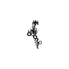 C=CCOC(=O)c1cc2cc([C@H](F)P(=O)(N[C@@H](C)C(=O)OCc3nnnn3C)Oc3ccccc3)ccc2s1